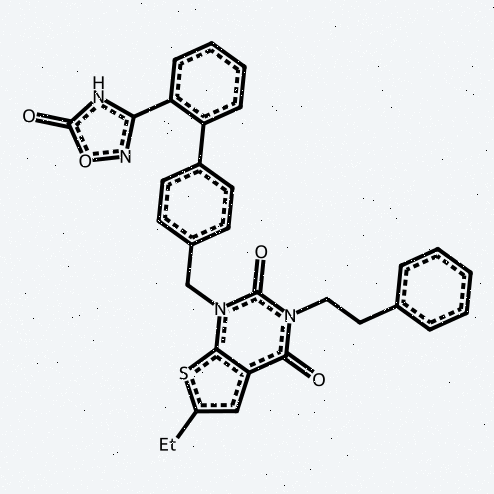 CCc1cc2c(=O)n(CCc3ccccc3)c(=O)n(Cc3ccc(-c4ccccc4-c4noc(=O)[nH]4)cc3)c2s1